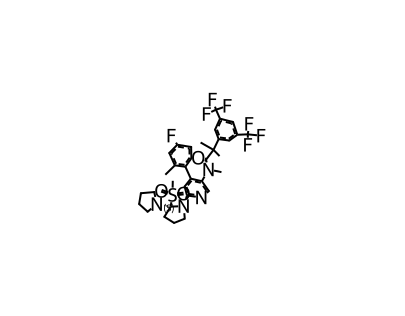 Cc1cc(F)ccc1-c1cc(N2CCC[C@@]2(N2CCCC2)S(C)(=O)=O)ncc1N(C)C(=O)C(C)(C)c1cc(C(F)(F)F)cc(C(F)(F)F)c1